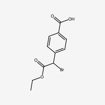 CCOC(=O)C(Br)c1ccc(C(=O)O)cc1